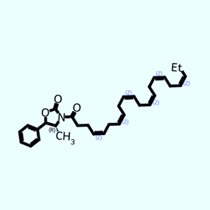 CC/C=C\C/C=C\C/C=C\C/C=C\C/C=C\C/C=C\CCC(=O)N1C(=O)OC(c2ccccc2)[C@H]1C